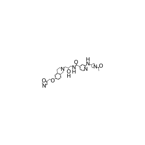 CC(=O)N1CC(Nc2cc(C(=O)NCC(O)CN3CCc4cc(OCc5cnco5)ccc4C3)ccn2)C1